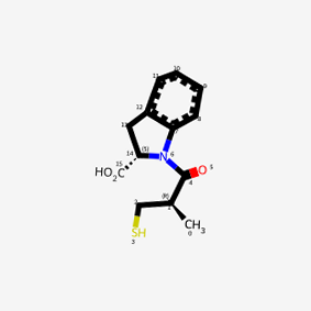 C[C@@H](CS)C(=O)N1c2ccccc2C[C@H]1C(=O)O